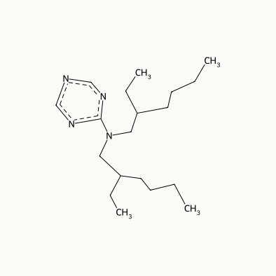 CCCCC(CC)CN(CC(CC)CCCC)c1ncncn1